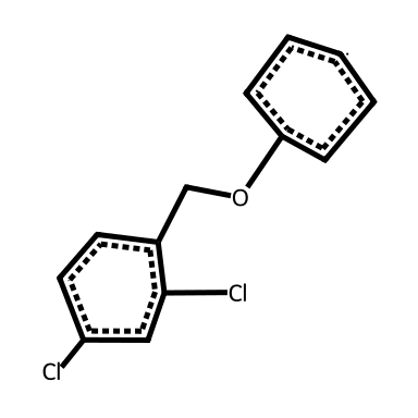 Clc1ccc(COc2cc[c]cc2)c(Cl)c1